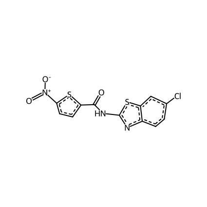 O=C(Nc1nc2ccc(Cl)cc2s1)c1ccc([N+](=O)[O-])s1